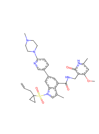 C=CCC1(S(=O)(=O)n2cc(C)c3c(C(=O)NCc4c(OC)cc(C)[nH]c4=O)cc(-c4ccc(N5CCN(C)CC5)nc4)cc32)CC1